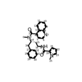 CN(C(=O)c1ccnc2ccccc12)[C@H](CCNC(=O)c1cccn1C)Cc1ccccc1